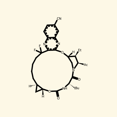 CC[C@@H]1[C@@H]2CN(C(=O)[C@H](C(C)(C)C)NC(=O)O[C@@H]3C[C@H]3CCCCC(F)(F)c3nc4ccc(C#N)cc4nc3O2)[C@@H]1C(C)=O